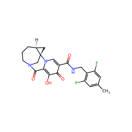 Cc1cc(F)c(CNC(=O)c2cn3c(c(O)c2=O)C(=O)N2CCC[C@H]4C[C@@]43C2)c(F)c1